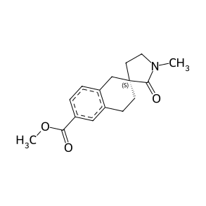 COC(=O)c1ccc2c(c1)CC[C@@]1(CCN(C)C1=O)C2